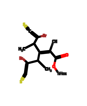 CCCCCCOC(=O)C(C#N)=C(C(C)C(Br)=C=S)C(C)C(Br)=C=S